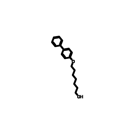 OCCCCCCCOc1ccc(-c2ccccc2)cc1